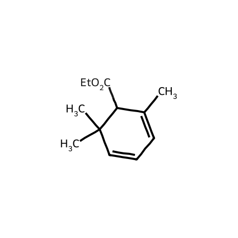 CCOC(=O)C1C(C)=CC=CC1(C)C